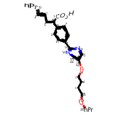 CCCC=CCC(C(=O)O)c1ccc(-c2ncc(OCCCCOCCC)cn2)cc1